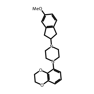 COc1ccc2c(c1)CC(N1CCN(c3cccc4c3OCCO4)CC1)C2